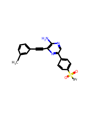 Cc1cccc(C#Cc2nc(-c3ccc(S(=O)(=O)C(C)C)cc3)cnc2N)c1